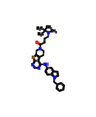 CN(CC=CC(=O)N1CCc2c(sc3ncnc(Nc4ccc5c(ccn5Cc5ccccc5)c4)c23)C1)C(C)(C)C